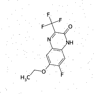 CCOc1cc2nc(C(F)(F)F)c(=O)[nH]c2cc1F